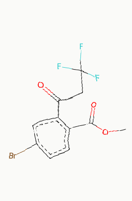 COC(=O)c1ccc(Br)cc1C(=O)CC(F)(F)F